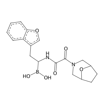 O=C(NC(Cc1coc2ccccc12)B(O)O)C(=O)N1CC2CCC(C1)O2